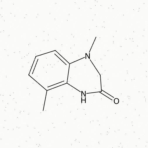 Cc1cccc2c1NC(=O)CN2C